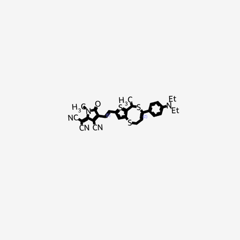 CCN(CC)c1ccc(/C2=C/CSc3cc(/C=C/C4=C(C#N)C(=C(C#N)C#N)N(C)C4=O)sc3C(C)S2)cc1